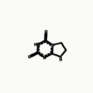 O=c1nc2n(c(=O)[nH]1)CCN2